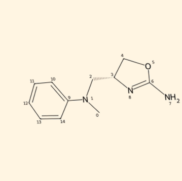 CN(C[C@@H]1COC(N)=N1)c1ccccc1